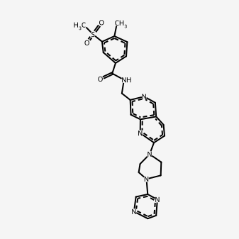 Cc1ccc(C(=O)NCc2cc3nc(N4CCN(c5cnccn5)CC4)ccc3cn2)cc1S(C)(=O)=O